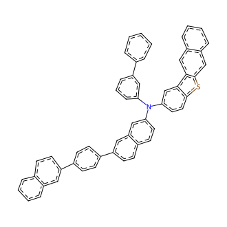 c1ccc(-c2cccc(N(c3ccc4ccc(-c5ccc(-c6ccc7ccccc7c6)cc5)cc4c3)c3ccc4sc5cc6ccccc6cc5c4c3)c2)cc1